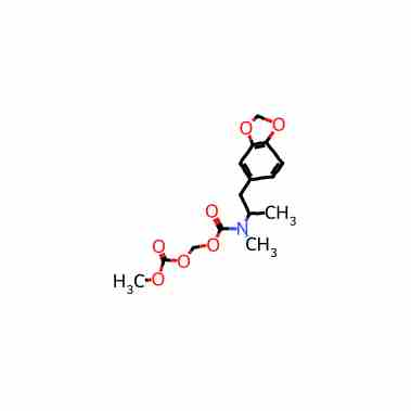 COC(=O)OCOC(=O)N(C)C(C)Cc1ccc2c(c1)OCO2